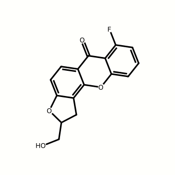 O=c1c2ccc3c(c2oc2cccc(F)c12)CC(CO)O3